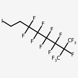 FC(F)(F)C(F)(C(F)(F)F)C(F)(F)C(F)(F)C(F)(F)C(F)(F)CCI